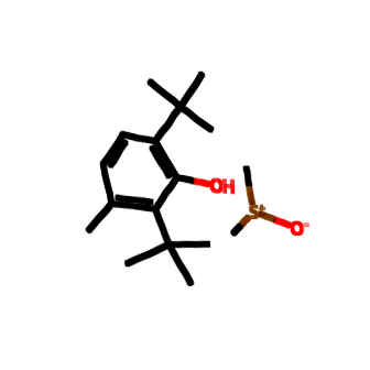 C[S+](C)[O-].Cc1ccc(C(C)(C)C)c(O)c1C(C)(C)C